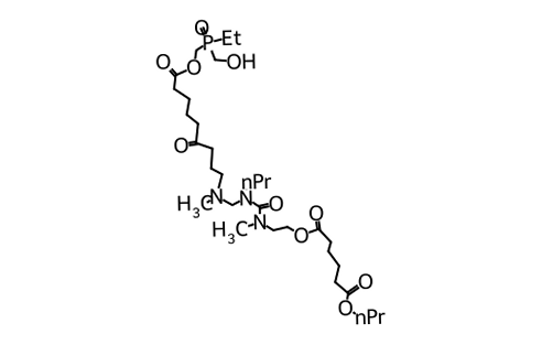 CCCOC(=O)CCCCC(=O)OCCN(C)C(=O)N(CCC)CN(C)CCCC(=O)CCCCC(=O)OCP(=O)(CC)CO